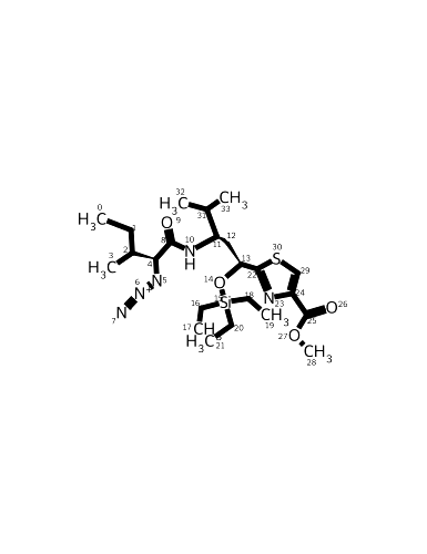 CCC(C)[C@H](N=[N+]=[N-])C(=O)N[C@H](C[C@H](O[Si](CC)(CC)CC)c1nc(C(=O)OC)cs1)C(C)C